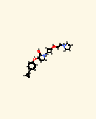 O=C1C(Oc2ccc(C3CC3)cc2)=CCN1C1CC(OCCN2CCCC2)C1